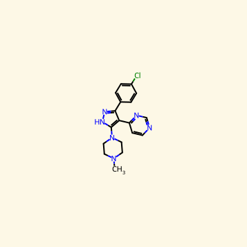 CN1CCN(c2[nH]nc(-c3ccc(Cl)cc3)c2-c2ccncn2)CC1